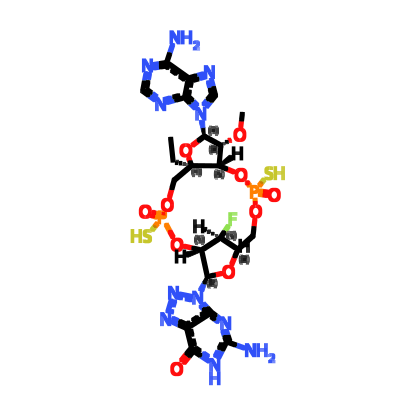 CC[C@@]12COP(=O)(S)O[C@@H]3[C@@H](F)[C@@H](COP(=O)(S)O[C@H]1[C@@H](OC)[C@H](n1cnc4c(N)ncnc41)O2)O[C@H]3n1nnc2c(=O)[nH]c(N)nc21